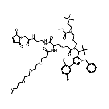 COCCOCCOCCOCCC(=O)NC(CSCC(=O)N(CCCN(CC[Si](C)(C)C)C(=O)O)C(c1cc(-c2cc(F)ccc2F)cn1Cc1ccccc1)C(C)(C)C)C(=O)NCCNC(=O)CN1C(=O)C=CC1=O